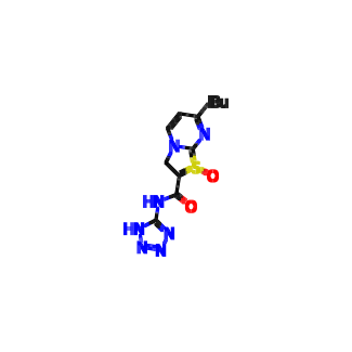 CCC(C)C1=NC2=S(=O)=C(C(=O)Nc3nnn[nH]3)CN2C=C1